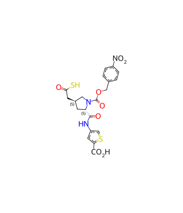 O=C(S)C[C@@H]1C[C@@H](C(=O)Nc2csc(C(=O)O)c2)N(C(=O)OCc2ccc([N+](=O)[O-])cc2)C1